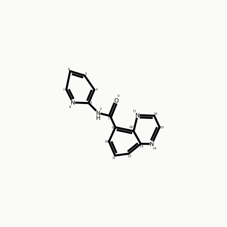 O=C(Nc1ccccn1)c1cccc2nccnc12